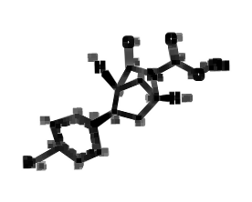 CC(C)(C)OC(=O)N1C(=O)[C@@H]2C[C@H]1C[C@H]2c1ccc(Br)cc1